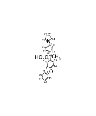 CC(C(=O)O)(c1ccc(Oc2ccccc2)cc1)c1ccc(N2CCCC2)cc1